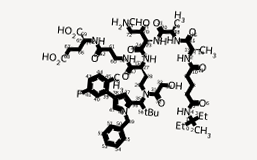 CCC(C)(CC)NC(=O)CCCC(=O)N[C@@H](C)C(=O)N[C@H](C)C(=O)N[C@H](C(=O)N[C@@H](CCN(C(=O)CO)C(c1cc(-c2cc(F)ccc2C)cn1Cc1ccccc1)C(C)(C)C)C(=O)NCCC(=O)N[C@H](CCC(=O)O)C(=O)O)C(C=O)CN